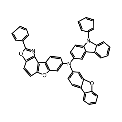 c1ccc(-c2nc3c(ccc4oc5cc(N(c6ccc7c(c6)oc6ccccc67)c6ccc7c(c6)c6ccccc6n7-c6ccccc6)ccc5c43)o2)cc1